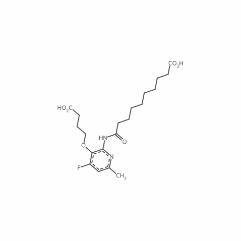 Cc1cc(F)c(OCCCC(=O)O)c(NC(=O)CCCCCCCCC(=O)O)n1